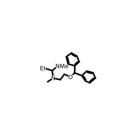 CCC(NC)N(C)CCOC(c1ccccc1)c1ccccc1